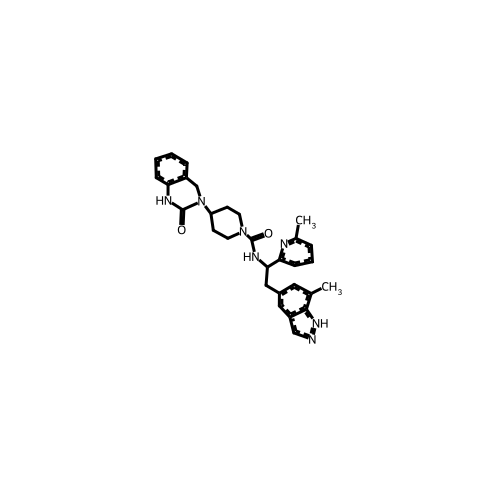 Cc1cccc(C(Cc2cc(C)c3[nH]ncc3c2)NC(=O)N2CCC(N3Cc4ccccc4NC3=O)CC2)n1